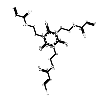 C=CC(=O)OCCn1c(=O)n(CCOC(=O)C=C)c(=O)n(CCOC(=O)/C=C/I)c1=O